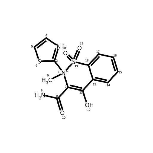 C[N+]1(c2nccs2)C(C(N)=O)=C(O)c2ccccc2S1(=O)=O